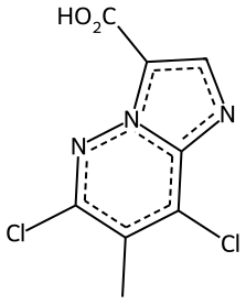 Cc1c(Cl)nn2c(C(=O)O)cnc2c1Cl